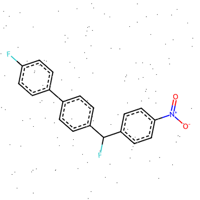 O=[N+]([O-])c1ccc(C(F)c2ccc(-c3ccc(F)cc3)cc2)cc1